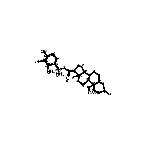 COCC12CCC(C)CC1CCC1C3CCC(C(=O)CN(N)c4ccc(Cl)c(F)c4N)C3(C)CCC12